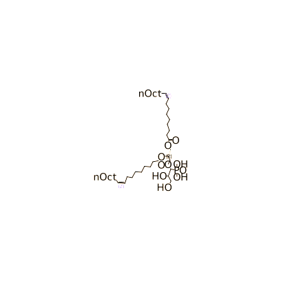 CCCCCCCC/C=C\CCCCCCCC(=O)OC[C@H](COC(C(O)CO)P(=O)(O)O)OC(=O)CCCCCCC/C=C\CCCCCCCC